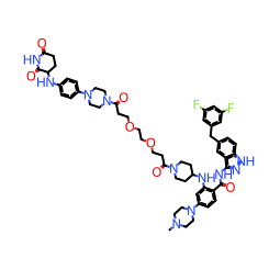 CN1CCN(c2ccc(C(=O)Nc3n[nH]c4ccc(Cc5cc(F)cc(F)c5)cc34)c(NC3CCN(C(=O)CCOCCOCCC(=O)N4CCN(c5ccc(NC6CCC(=O)NC6=O)cc5)CC4)CC3)c2)CC1